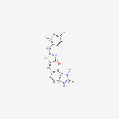 Cc1ccc(NC2=NC(=O)C(=Cc3ccc4nc(C)n(C)c4c3)S2)c(C)c1